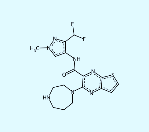 Cn1cc(NC(=O)c2nc3sccc3nc2N2CCCNCC2)c(C(F)F)n1